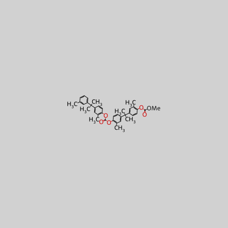 COC(=O)Oc1ccc(C(C)(C)c2ccc(OC(=O)Oc3ccc(C(C)(C)c4cccc(C)c4)cc3C)c(C)c2)cc1C